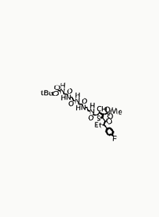 CCC(C(=O)c1sc(C(=O)NCCNC(=O)CNC(=O)CNC(=O)CNC(=O)OC(C)(C)C)c(C)c1C(=O)OC)c1ccc(F)cc1